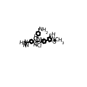 CC(=O)Nc1ccc(-c2ccc(C[C@H](NC(=O)[C@H]3CC[C@H](CN)CC3)C(=O)Nc3ccc(-c4nn[nH]n4)cc3)cc2)cc1F.Cl